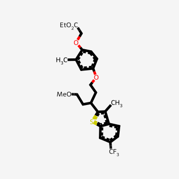 CCOC(=O)COc1ccc(OCCC(CCOC)c2sc3cc(C(F)(F)F)ccc3c2C)cc1C